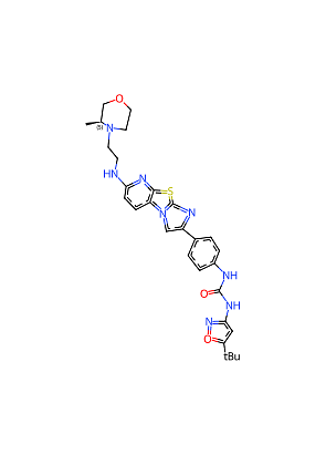 C[C@H]1COCCN1CCNc1ccc2c(n1)sc1nc(-c3ccc(NC(=O)Nc4cc(C(C)(C)C)on4)cc3)cn12